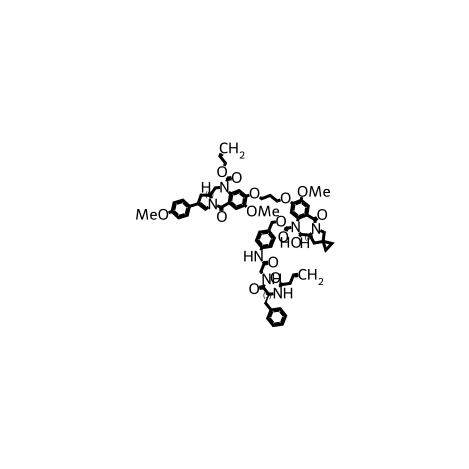 C=CCOC(=O)N1C[C@@H]2CC(c3ccc(OC)cc3)=CN2C(=O)c2cc(OC)c(OCCCOc3cc4c(cc3OC)C(=O)N3CC5(CC5)C[C@H]3C(O)N4C(=O)OCc3ccc(NC(=O)CNC(=O)[C@H](Cc4ccccc4)NC(=O)CC=C)cc3)cc21